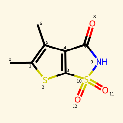 Cc1sc2c(c1C)C(=O)NS2(=O)=O